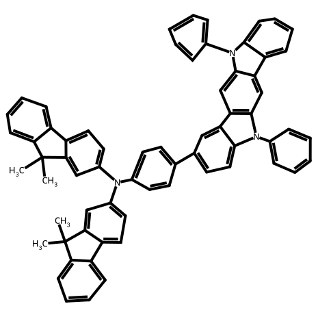 CC1(C)c2ccccc2-c2ccc(N(c3ccc(-c4ccc5c(c4)c4cc6c(cc4n5-c4ccccc4)c4ccccc4n6-c4ccccc4)cc3)c3ccc4c(c3)C(C)(C)c3ccccc3-4)cc21